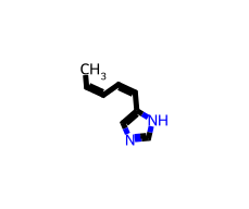 C/C=C\C=C/c1cnc[nH]1